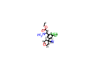 CCOC(=O)CC(N)c1cc(Cl)cc(C2(C#N)CCOCC2)c1.Cl